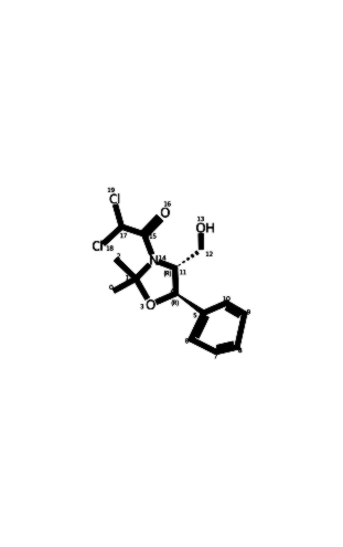 CC1(C)O[C@H](c2ccccc2)[C@@H](CO)N1C(=O)C(Cl)Cl